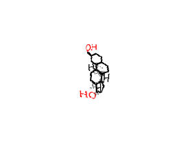 C[C@]12CC[C@H]3[C@@H](CCC4CCC(=CO)C[C@@]43C)[C@@H]1CC[C@@H]2O